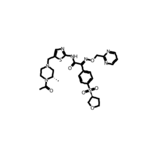 CC(=O)N1CCN(Cc2cnc(NC(=O)/C(=N/OCc3ncccn3)c3ccc(S(=O)(=O)[C@H]4CCOC4)cc3)s2)C[C@@H]1C